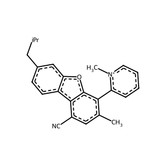 Cc1cc(C#N)c2c(oc3cc(CC(C)C)ccc32)c1-c1cccc[n+]1C